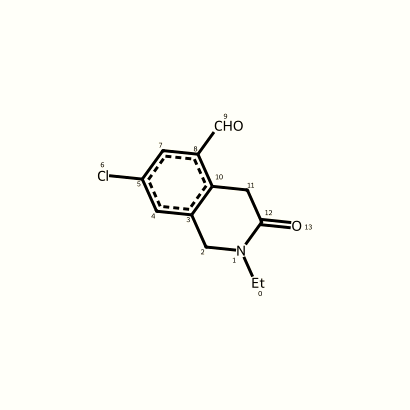 CCN1Cc2cc(Cl)cc(C=O)c2CC1=O